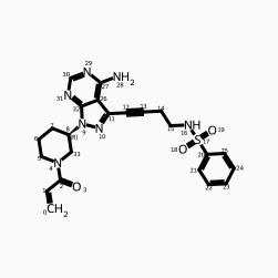 C=CC(=O)N1CCC[C@@H](n2nc(C#CCCNS(=O)(=O)c3ccccc3)c3c(N)ncnc32)C1